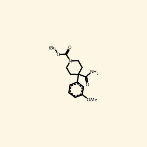 COc1cccc(C2(C(N)=O)CCN(C(=O)OC(C)(C)C)CC2)c1